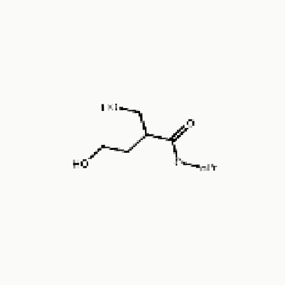 CCCOC(=O)C(CO)CCO